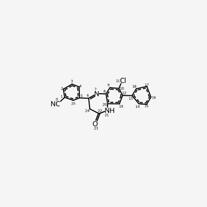 N#Cc1cccc(C2=Nc3cc(Cl)c(-c4ccccc4)cc3NC(=O)C2)c1